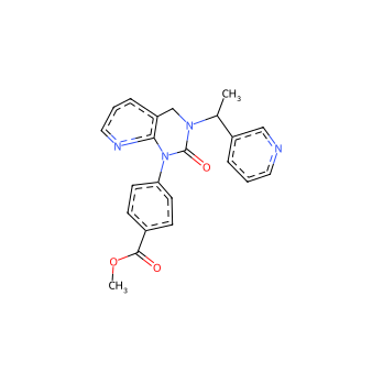 COC(=O)c1ccc(N2C(=O)N(C(C)c3cccnc3)Cc3cccnc32)cc1